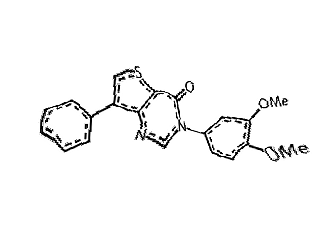 COc1ccc(-n2cnc3c(-c4ccccc4)csc3c2=O)cc1OC